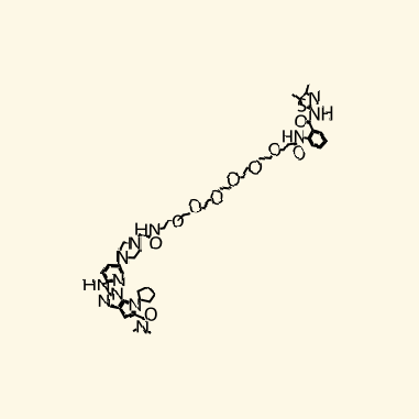 CC1N=C(NC(=O)c2ccccc2NC(=O)CCOCCOCCOCCOCCOCCOCCNC(=O)CN2CCN(c3ccc(Nc4ncc5cc(C(=O)N(C)C)n(C6CCCC6)c5n4)nc3)CC2)SC1C